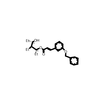 CCC([C@@H](O)CC)[C@@H](CC)OC(=O)C=Cc1cccc(OCc2ccccc2)c1